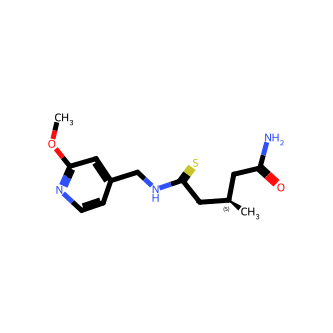 COc1cc(CNC(=S)[CH][C@H](C)CC(N)=O)ccn1